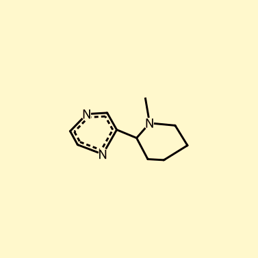 CN1CCCCC1c1cnccn1